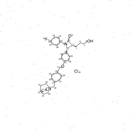 O=C1[C@@H](CCCO)[C@@H](c2ccc(OCc3ccc(C[N+]45CCC(CC4)CC5)cc3)cc2)N1c1ccc(F)cc1.[Cl-]